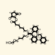 O=C(CCCCCSC(SCCCSOOO)=C1c2ccccc2N(Cc2ccccc2)c2ccccc21)ON1C(=O)CCC1=O